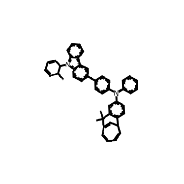 CC1C=CC=CC1n1c2ccccc2c2cc(-c3ccc(N(c4ccccc4)c4ccc5c(c4)C(C)(C)C4=CC5C=CC=C4)cc3)ccc21